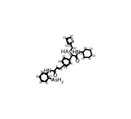 O=C(/C=C/c1ccc(C([AsH]Cc2cccs2)C(=O)NC2CCCCC2)cc1)Nc1ccccc1[AsH2]